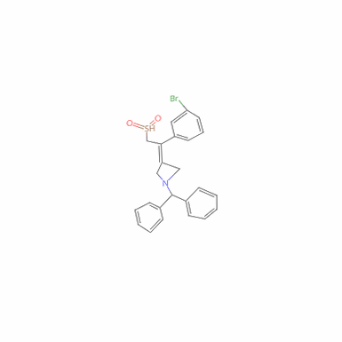 O=[SH](=O)CC(=C1CN(C(c2ccccc2)c2ccccc2)C1)c1cccc(Br)c1